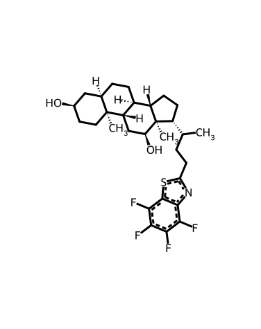 CC(CCc1nc2c(F)c(F)c(F)c(F)c2s1)[C@H]1CC[C@H]2[C@@H]3CC[C@@H]4C[C@H](O)CC[C@]4(C)[C@H]3C[C@H](O)[C@]12C